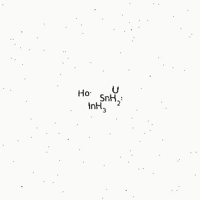 [Ho].[InH3].[SnH2].[U]